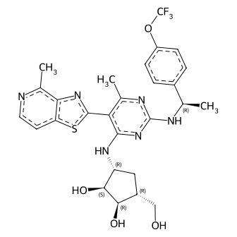 Cc1nc(N[C@H](C)c2ccc(OC(F)(F)F)cc2)nc(N[C@@H]2C[C@H](CO)[C@@H](O)[C@H]2O)c1-c1nc2c(C)nccc2s1